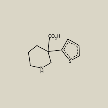 O=C(O)C1(c2cccs2)CCCNC1